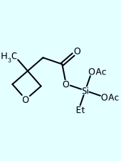 CC[Si](OC(C)=O)(OC(C)=O)OC(=O)CC1(C)COC1